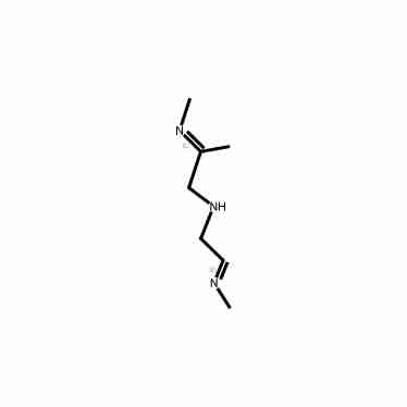 C/N=C/CNC/C(C)=N/C